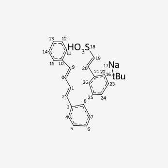 C(C=Cc1ccccc1)=Cc1ccccc1.C[C](C)(C)[Na].O=S(=O)(O)C=Cc1ccccc1